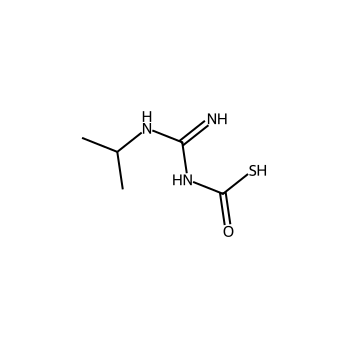 CC(C)NC(=N)NC(=O)S